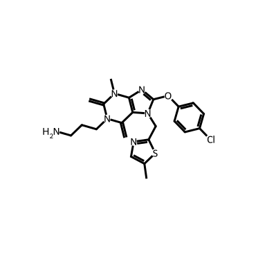 C=C1c2c(nc(Oc3ccc(Cl)cc3)n2Cc2ncc(C)s2)N(C)C(=C)N1CCCN